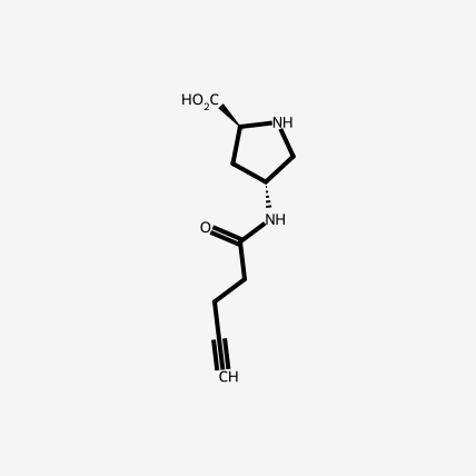 C#CCCC(=O)N[C@H]1CN[C@H](C(=O)O)C1